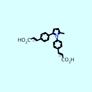 Cc1ccc(-c2ccc(/C=C/C(=O)O)cc2)n1-c1ccc(/C=C/C(=O)O)cc1